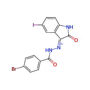 O=C1Nc2ccc(I)cc2/C1=N\NC(=O)c1ccc(Br)cc1